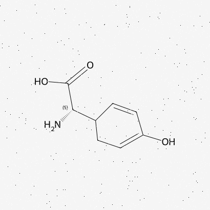 N[C@H](C(=O)O)C1C=CC(O)=CC1